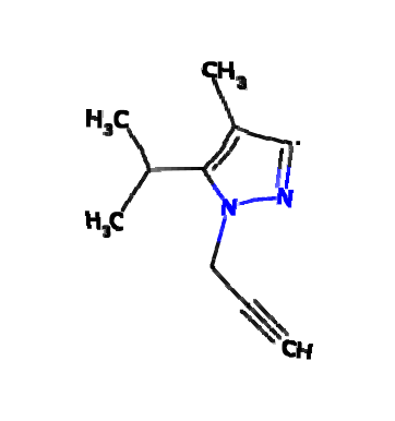 C#CCn1n[c]c(C)c1C(C)C